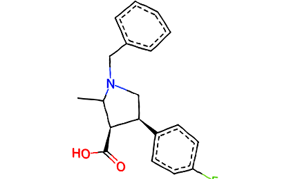 CC1[C@H](C(=O)O)[C@H](c2ccc(F)cc2)CN1Cc1ccccc1